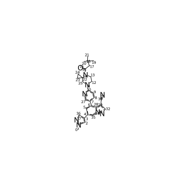 Cn1cc(-c2cc(-c3ccc(N4CCN(C(=O)CC(C)(C)C)C5(CC5)C4)nc3)c3c(C#N)cnn3c2)cn1